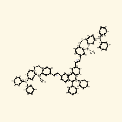 CN1c2cc(/C=C/c3ccc4c(-c5ccccc5)c(-c5ccccc5)c5ccc(/C=C/c6ccc7c(c6)N(C)c6cc(N(c8ccccc8)c8ccccc8)ccc6CC7)cc5c4c3)ccc2CCc2ccc(N(c3ccccc3)c3ccccc3)cc21